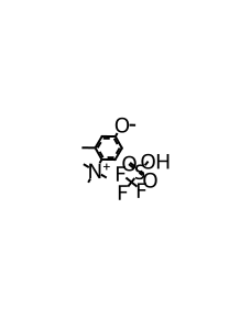 COc1ccc([N+](C)(C)C)c(C)c1.O=S(=O)(O)C(F)(F)F